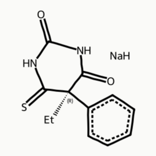 CC[C@@]1(c2ccccc2)C(=O)NC(=O)NC1=S.[NaH]